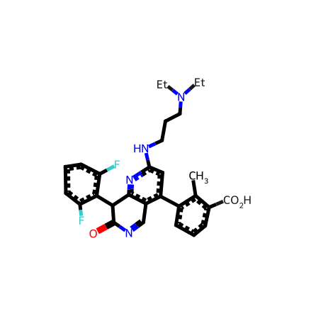 CCN(CC)CCCNc1cc(-c2cccc(C(=O)O)c2C)c2c(n1)C(c1c(F)cccc1F)C(=O)N=C2